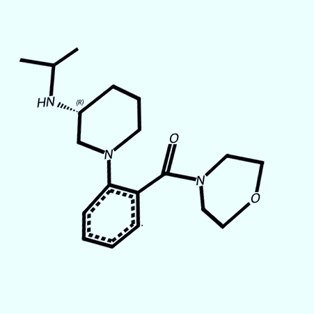 CC(C)N[C@@H]1CCCN(c2ccc[c]c2C(=O)N2CCOCC2)C1